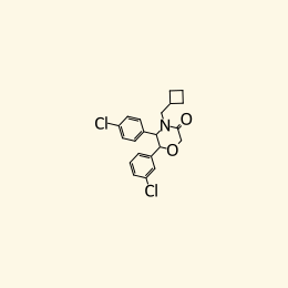 O=C1COC(c2cccc(Cl)c2)C(c2ccc(Cl)cc2)N1CC1CCC1